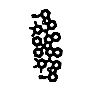 Cc1cc(N(c2cc3c(c4ccccc24)-c2c(cc(N(c4cc(C)c(C)c(C)c4)c4cccc5c4oc4c(C(C)(C)C)cccc45)c4ccccc24)C3(c2ccccc2)c2ccccc2)c2cccc3c2oc2c(C(C)(C)C)cccc23)cc(C)c1C